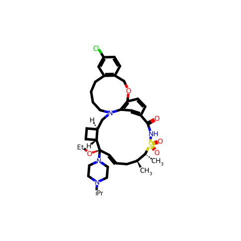 CCO[C@]1(N2CCN(C(C)C)CC2)/C=C/C[C@H](C)[C@@H](C)S(=O)(=O)NC(=O)c2ccc3c(c2)N(CCCCc2cc(Cl)ccc2CO3)C[C@@H]2CC[C@H]21